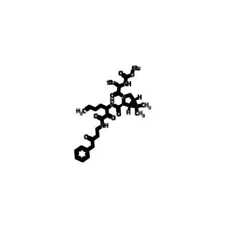 C=CCCC(NC(=O)[C@@H]1[C@@H]2[C@H](CN1C(=O)C(NC(=O)OC(C)(C)C)C(C)(C)C)C2(C)C)C(=O)C(=O)NCCC(=O)Cc1ccccc1